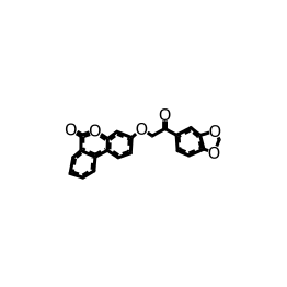 O=C(COc1ccc2c(c1)oc(=O)c1ccccc12)c1ccc2c(c1)OCO2